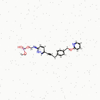 C=C(C#CCc1ccc(COc2ccccn2)cc1)/C=C\C(N)=N\COP(O)OC